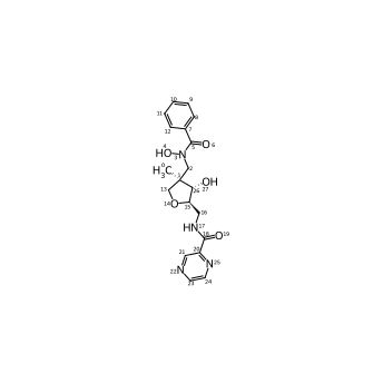 C[C@@]1(CN(O)C(=O)c2ccccc2)CO[C@H](CNC(=O)c2cnccn2)[C@H]1O